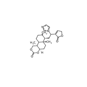 C=C1CCC2[C@]3(C)COC(=O)O[C@@H]3CC[C@@]2(C)[C@@H]1CC(C1=CCOC1=O)n1ccnc1